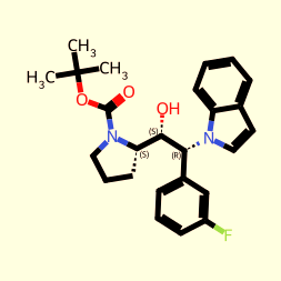 CC(C)(C)OC(=O)N1CCC[C@H]1[C@H](O)[C@@H](c1cccc(F)c1)n1ccc2ccccc21